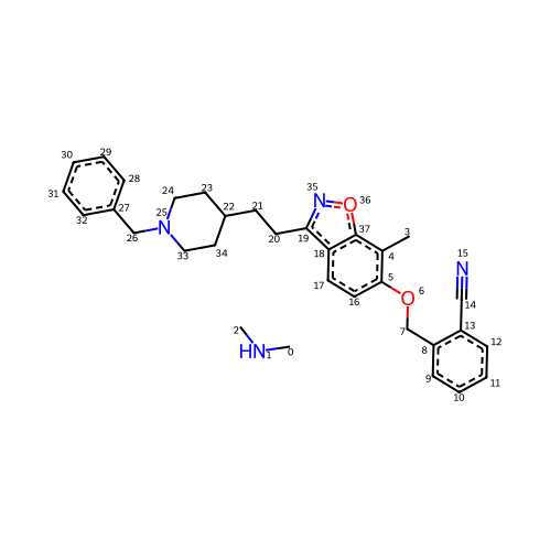 CNC.Cc1c(OCc2ccccc2C#N)ccc2c(CCC3CCN(Cc4ccccc4)CC3)noc12